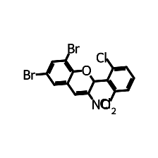 O=[N+]([O-])C1=Cc2cc(Br)cc(Br)c2OC1c1c(Cl)cccc1Cl